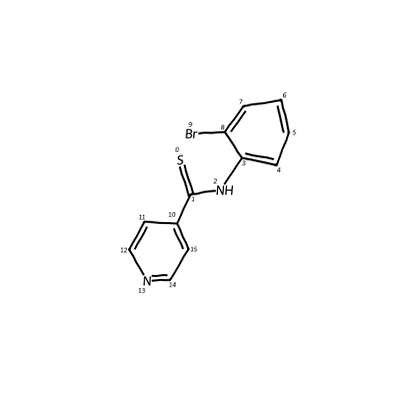 S=C(Nc1ccccc1Br)c1ccncc1